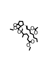 CCCCCC(C=C[C@H]1CCC(=O)[C@]1(CCC(C)CCCC(=O)OCC)C(=O)OCC)OC(C)=O